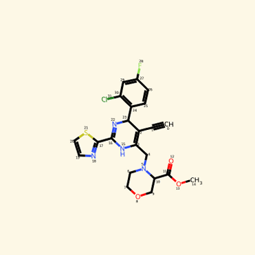 C#CC1=C(CN2CCOCC2C(=O)OC)NC(c2nccs2)=NC1c1ccc(F)cc1Cl